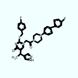 CC(c1cn[nH]c1)c1cn(CC(=O)N2CCN(c3ccc(-c4ccc(F)cc4)cc3)CC2)c(SCc2ccc(F)cc2)nc1=O